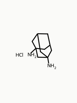 Cl.NC12CC3CC(C1)CC(N)(C3)C2